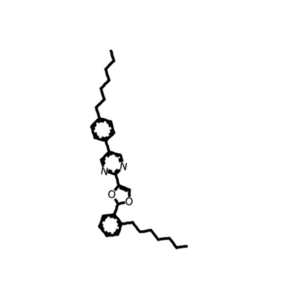 CCCCCCCc1ccc(-c2cnc(C3=COC(c4ccccc4CCCCCCC)O3)nc2)cc1